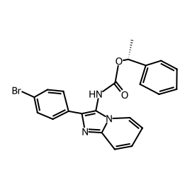 C[C@@H](OC(=O)Nc1c(-c2ccc(Br)cc2)nc2ccccn12)c1ccccc1